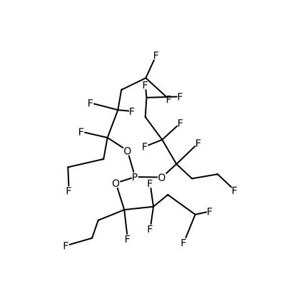 FCCC(F)(OP(OC(F)(CCF)C(F)(F)CC(F)F)OC(F)(CCF)C(F)(F)CC(F)F)C(F)(F)CC(F)F